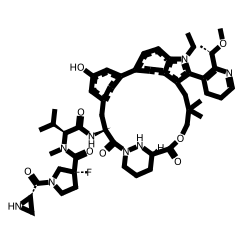 CCn1c(C2=C([C@H](C)OC)N=CCC2)c2c3cc(ccc31)-c1cc(O)cc(c1)C[C@H](NC(=O)[C@H](C(C)C)N(C)C(=O)[C@@]1(F)CCN(C(=O)[C@@H]3CN3)C1)C(=O)N1CCC[C@H](N1)C(=O)OCC(C)(C)C2